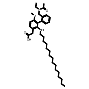 CCCCCCCCCCCCCCCCNc1c(CC(=O)O)ccc(OC)c1-c1ccccc1CN(CC)C(C)=O